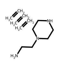 C=C.C=C.C=C.NCCN1CCNCC1